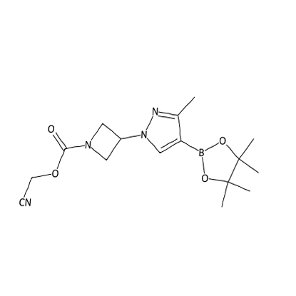 Cc1nn(C2CN(C(=O)OCC#N)C2)cc1B1OC(C)(C)C(C)(C)O1